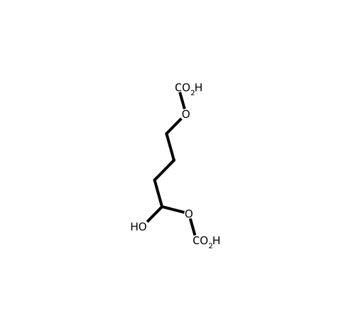 O=C(O)OCCCC(O)OC(=O)O